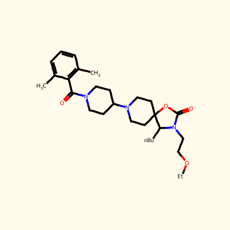 CCCCC1N(CCOCC)C(=O)OC12CCN(C1CCN(C(=O)c3c(C)cccc3C)CC1)CC2